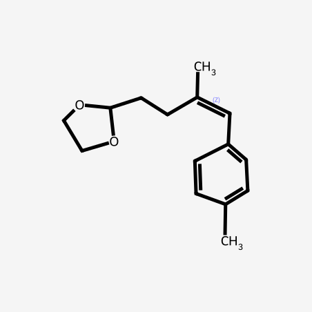 C/C(=C/c1ccc(C)cc1)CCC1OCCO1